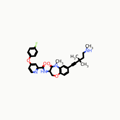 CNCCC(C)(C)C#Cc1ccc2c(c1)N(C)C(=O)C(NC(=O)c1cc(Oc3ccc(F)cc3)ccn1)CO2